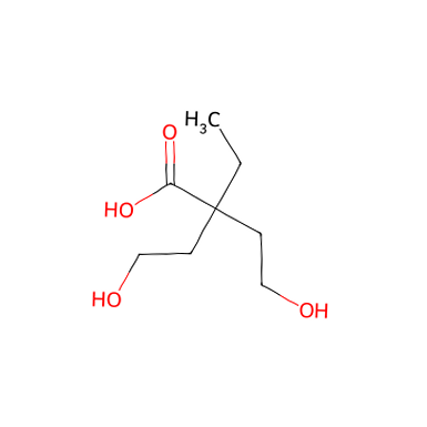 CCC(CCO)(CCO)C(=O)O